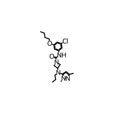 CCCCOc1cc(Cl)cc(NC(=O)N2CC(N(CCC)c3cc(C)nn3C)C2)c1